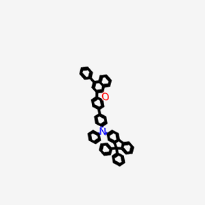 c1ccc(-c2cc3c4ccc(-c5ccc(N(c6ccccc6)c6ccc7c(c6)C(c6ccccc6)(c6ccccc6)c6ccccc6-7)cc5)cc4oc3c3ccccc23)cc1